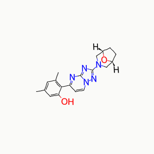 Cc1cc(C)c(-c2ccn3nc(N4C[C@H]5CC[C@@H](C4)O5)nc3n2)c(O)c1